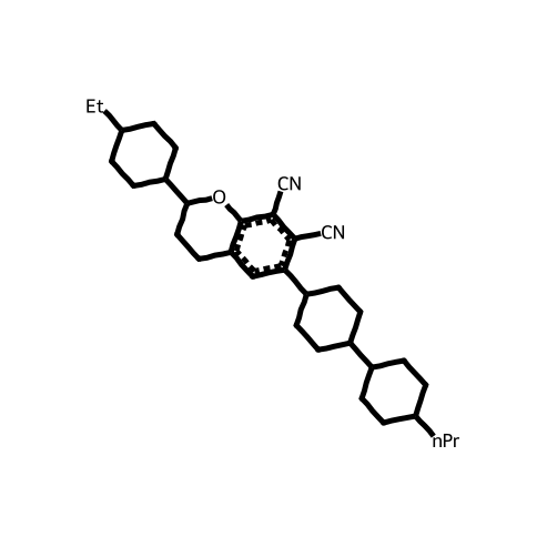 CCCC1CCC(C2CCC(c3cc4c(c(C#N)c3C#N)OC(C3CCC(CC)CC3)CC4)CC2)CC1